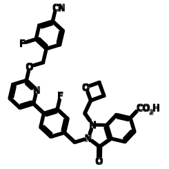 N#Cc1ccc(COc2cccc(-c3ccc(Cn4c(=O)c5ccc(C(=O)O)cc5n4CC4CCO4)cc3F)n2)c(F)c1